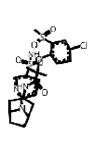 CC(C)(Oc1ccc(Cl)cc1S(C)(=O)=O)C(=O)NC1CC2CCC(C1)N2c1ccc(S(N)(=O)=O)cn1